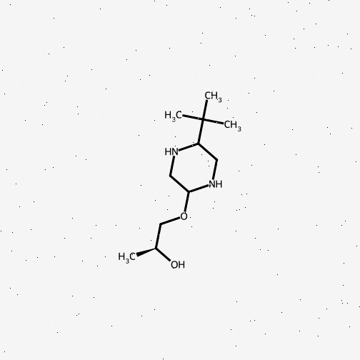 C[C@H](O)COC1CNC(C(C)(C)C)CN1